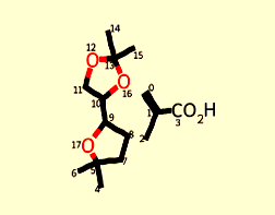 C=C(C)C(=O)O.CC1(C)CCC(C2COC(C)(C)O2)O1